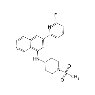 CS(=O)(=O)N1CCC(Nc2cc(-c3cccc(F)n3)cc3ccncc23)CC1